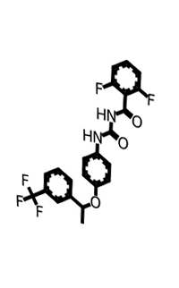 CC(Oc1ccc(NC(=O)NC(=O)c2c(F)cccc2F)cc1)c1cccc(C(F)(F)F)c1